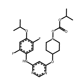 CC(C)OC(=O)ON1CCC(Oc2cc(Nc3cc(F)c(OC(C)C)cc3F)ncn2)CC1